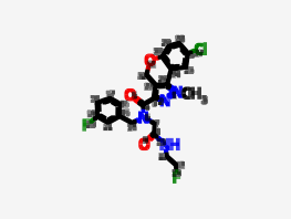 Cn1nc(C(=O)N(CC(=O)NCCF)Cc2cccc(F)c2)c2c1-c1cc(Cl)ccc1OC2